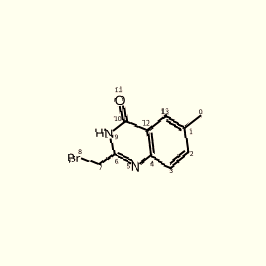 Cc1ccc2nc(CBr)[nH]c(=O)c2c1